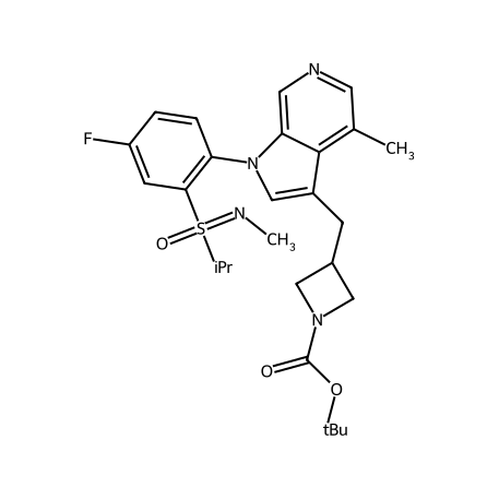 CN=S(=O)(c1cc(F)ccc1-n1cc(CC2CN(C(=O)OC(C)(C)C)C2)c2c(C)cncc21)C(C)C